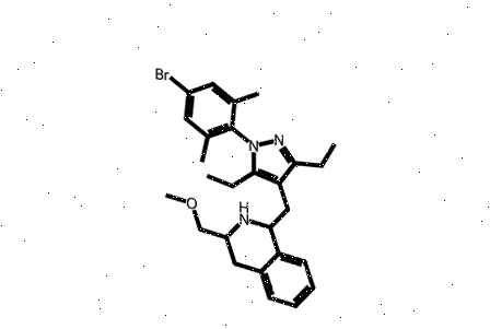 CCc1nn(-c2c(C)cc(Br)cc2C)c(CC)c1CC1NC(COC)Cc2ccccc21